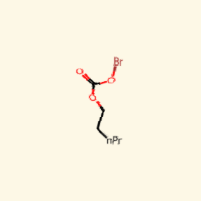 CCCCCOC(=O)OBr